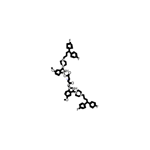 COc1ccc2c(c1)C(N1CCN(CCCC(c3ccc(F)cc3)c3ccc(F)cc3)CC1)NN2OC(=O)/C=C/C(=O)ON1NC(N2CCN(CCCC(c3ccc(F)cc3)c3ccc(F)cc3)CC2)c2cc(OC)ccc21